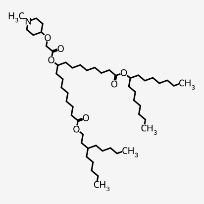 CCCCCCCC(CCCCCCC)OC(=O)CCCCCCCC(CCCCCCCC(=O)OCCC(CCCCC)CCCCC)OC(=O)COC1CCN(C)CC1